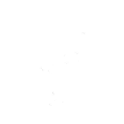 CC(=O)NC(Cc1c[nH]c2ccccc12)C(=O)NC(CCCNC(=N)N)C(=O)NN